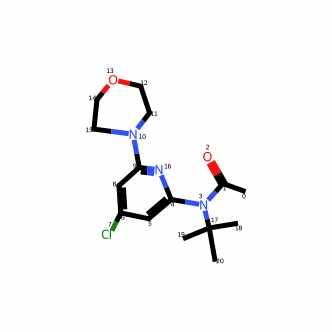 CC(=O)N(c1cc(Cl)cc(N2CCOCC2)n1)C(C)(C)C